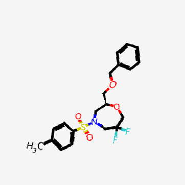 Cc1ccc(S(=O)(=O)N2C[C@@H](COCc3ccccc3)OCC(F)(F)C2)cc1